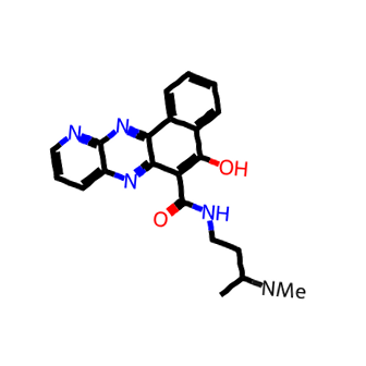 CNC(C)CCNC(=O)c1c(O)c2ccccc2c2nc3ncccc3nc12